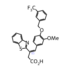 COc1cc(/C=C(/CC(=O)O)c2nc3ccccc3s2)ccc1OCc1cccc(C(F)(F)F)c1